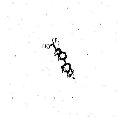 Cn1cc2cc(-c3ccc4cc([C@H](O)C(F)(F)F)sc4n3)cnc2n1